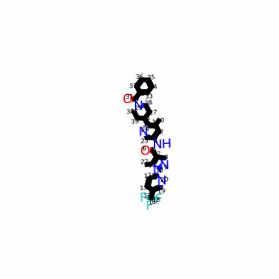 Cc1cc(NC(=O)c2cnn(-c3ccc(C(F)(F)F)cn3)c2C)cnc1C1CCN(C(=O)c2ccccc2)CC1